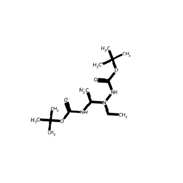 CCN(NC(=O)OC(C)(C)C)C(C)NC(=O)OC(C)(C)C